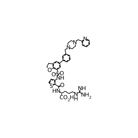 N=C(N)NCCC[C@H](NC(=O)c1sccc1NS(=O)(=O)c1cc(-c2cccc(CN3CCN(Cc4ccccn4)CC3)c2)cc2c1OCC2)C(=O)O